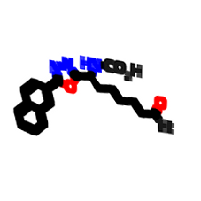 CCC(=O)CCCCC[C@H](NC(=O)O)c1nnc(-c2ccc3ccccc3c2)o1